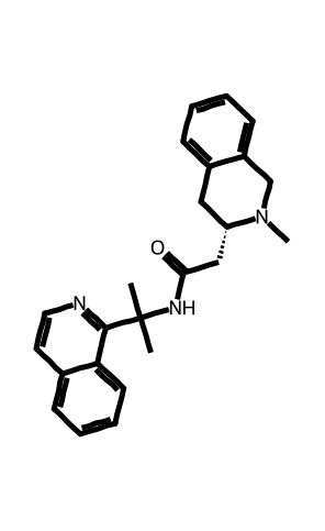 CN1Cc2ccccc2C[C@H]1CC(=O)NC(C)(C)c1nccc2ccccc12